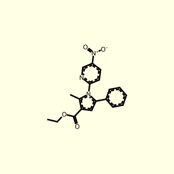 CCOC(=O)c1cc(-c2ccccc2)n(-c2ccc([N+](=O)[O-])cn2)c1C